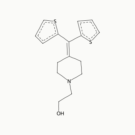 OCCN1CCC(=C(c2cccs2)c2cccs2)CC1